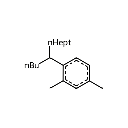 CCCCCCCC(CCCC)c1ccc(C)cc1C